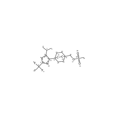 CC(C)n1cc(C(F)(F)F)nc1C12CCC(COS(C)(=O)=O)(CC1)CC2